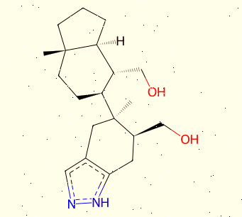 C[C@@]12CCC[C@H]1[C@H](CO)[C@@H]([C@]1(C)Cc3cn[nH]c3C[C@@H]1CO)CC2